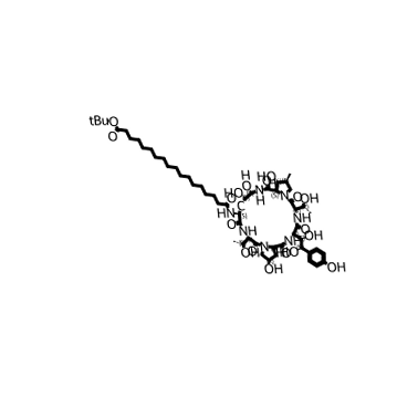 C[C@@H](O)[C@@H]1NC(=O)[C@H]([C@H](O)[C@@H](O)c2ccc(O)cc2)NC(=O)[C@@H]2C[C@@H](O)CN2C(=O)[C@H]([C@@H](C)O)NC(=O)[C@@H](NC(=O)CCCCCCCCCCCCCCCCC(=O)OC(C)(C)C)C[C@@H](O)[C@@H](O)NC(=O)[C@@H]2[C@@H](O)[C@@H](C)CN2C1=O